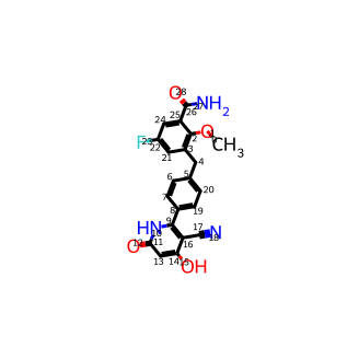 COc1c(Cc2ccc(-c3[nH]c(=O)cc(O)c3C#N)cc2)cc(F)cc1C(N)=O